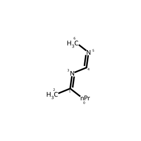 CCC/C(C)=N\C=N/C